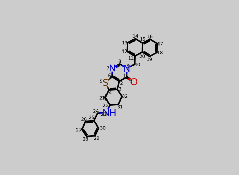 O=c1c2c3c(sc2ncn1Cc1cccc2ccccc12)CC(NCc1ccccc1)CC3